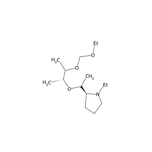 CCOCOC(C)[C@@H](C)OC(C)[C@@H]1CCCN1CC